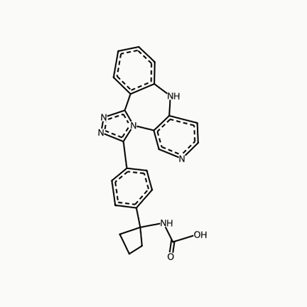 O=C(O)NC1(c2ccc(-c3nnc4n3-c3cnccc3Nc3ccccc3-4)cc2)CCC1